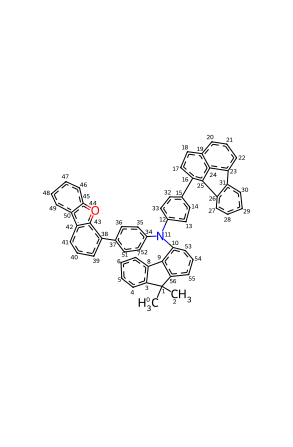 CC1(C)c2ccccc2-c2c(N(c3ccc(-c4ccc5cccc6c5c4-c4ccccc4-6)cc3)c3ccc(-c4cccc5c4oc4ccccc45)cc3)cccc21